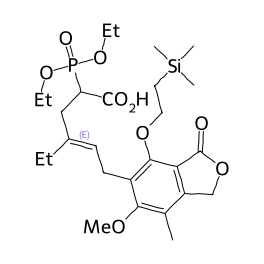 CCOP(=O)(OCC)C(C/C(=C/Cc1c(OC)c(C)c2c(c1OCC[Si](C)(C)C)C(=O)OC2)CC)C(=O)O